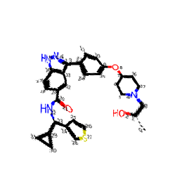 C[C@H](O)CN1CCC(Oc2ccc(-c3n[nH]c4ccc(C(=O)N[C@@H](c5ccsc5)C5CC5)cc34)cc2)CC1